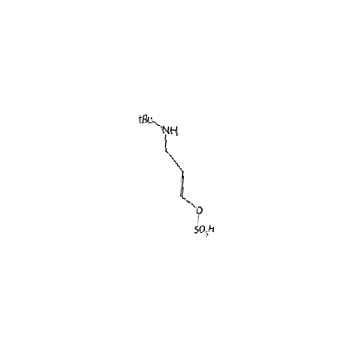 CC(C)(C)NCCCOS(=O)(=O)O